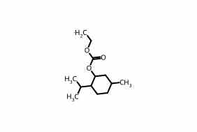 [CH2]COC(=O)OC1CC(C)CCC1C(C)C